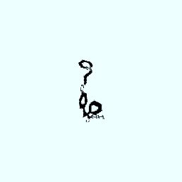 O=C1Nc2ccccc2C12CC2c1ccc(OCCCN2CCCCC2)cc1